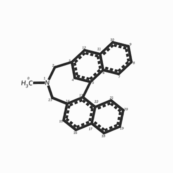 CN1Cc2cc(c3ccccc3c2)-c2c(ccc3ccccc23)C1